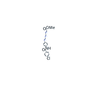 COC(=O)/C=C/C=C/C=C/c1ccc(NC(=O)c2ccc(Cl)cc2)cc1